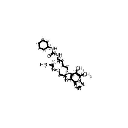 CC(C)=NOCc1nc2c(c(C)c(C)n3nnnc23)n1CCCCNC(=O)NC1CCCCC1